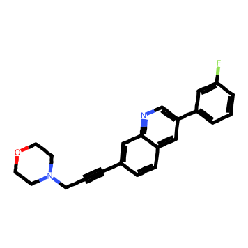 Fc1cccc(-c2cnc3cc(C#CCN4CCOCC4)ccc3c2)c1